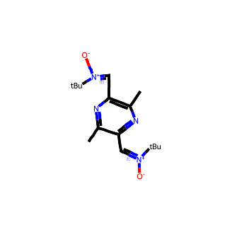 Cc1nc(/C=[N+](/[O-])C(C)(C)C)c(C)nc1/C=[N+](/[O-])C(C)(C)C